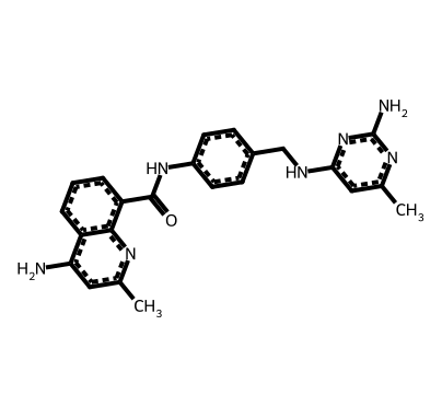 Cc1cc(NCc2ccc(NC(=O)c3cccc4c(N)cc(C)nc34)cc2)nc(N)n1